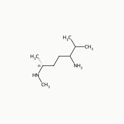 CN[C@H](C)CCC(N)C(C)C